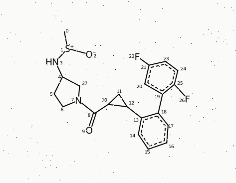 C[S+]([O-])NC1CCN(C(=O)C2CC2c2ccccc2-c2cc(F)ccc2F)C1